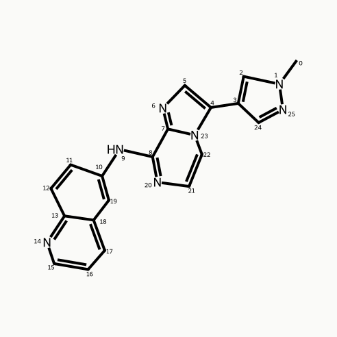 Cn1cc(-c2cnc3c(Nc4ccc5ncccc5c4)nccn23)cn1